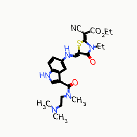 CCOC(=O)C(C#N)=c1sc(=CNc2ccc3[nH]cc(C(=O)N(C)CCN(C)C)c3c2)c(=O)n1CC